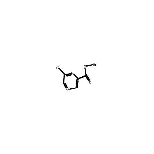 O=C(OBr)c1cncc(Cl)n1